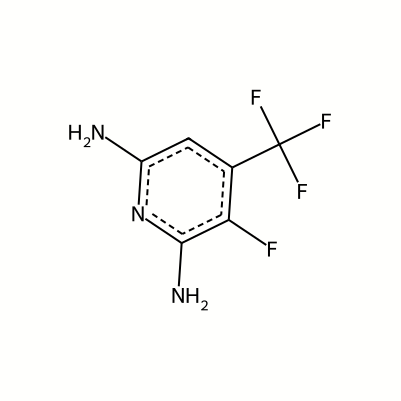 Nc1cc(C(F)(F)F)c(F)c(N)n1